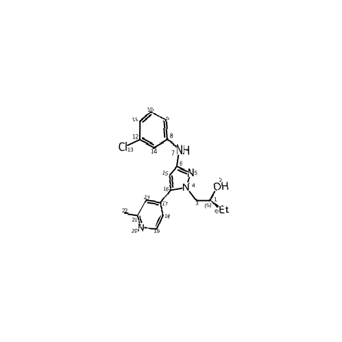 CC[C@H](O)Cn1nc(Nc2cccc(Cl)c2)cc1-c1ccnc(C)c1